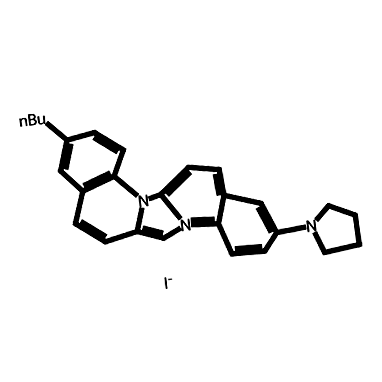 CCCCc1ccc2c(ccc3c[n+]4c5ccc(N6CCCC6)cc5ccc4n32)c1.[I-]